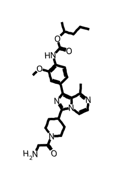 CCCC(C)OC(=O)Nc1ccc(-c2nc(C3CCN(C(=O)CN)CC3)n3ccnc(C)c23)cc1OC